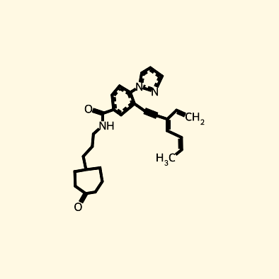 C=C/C(C#Cc1cc(C(=O)NCCCC2CCCC(=O)CC2)ccc1-n1cccn1)=C\C=C/C